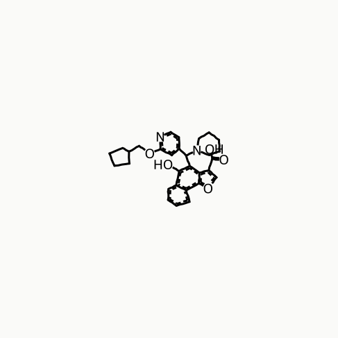 O=C(O)c1coc2c1c(C(c1ccnc(OCC3CCCC3)c1)N1CCCCC1)c(O)c1ccccc12